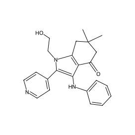 CC1(C)CC(=O)c2c(Nc3ccccc3)c(-c3ccncc3)n(CCO)c2C1